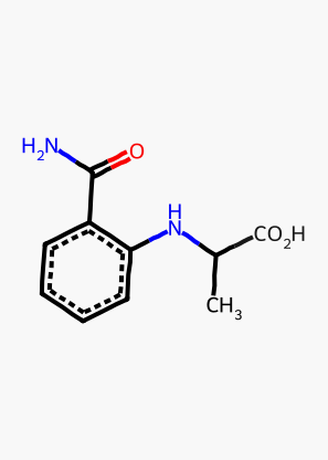 CC(Nc1ccccc1C(N)=O)C(=O)O